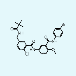 COc1ccc(NC(=O)c2cc(CNC(=O)C(C)(C)C)ccc2Cl)cc1C(=O)Nc1ccc(Br)cc1